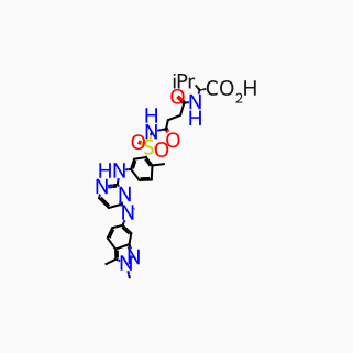 Cc1ccc(Nc2nccc(N(C)c3ccc4c(C)n(C)nc4c3)n2)cc1S(=O)(=O)NC(=O)CCC(=O)N[C@H](C(=O)O)C(C)C